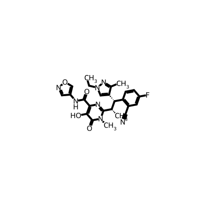 CCn1cc([C@H](c2ccc(F)cc2C#N)[C@H](C)c2nc(C(=O)Nc3cnoc3)c(O)c(=O)n2C)c(C)n1